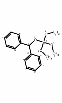 CO[Si](OC)(OC)OC(c1ccccc1)c1ccccc1